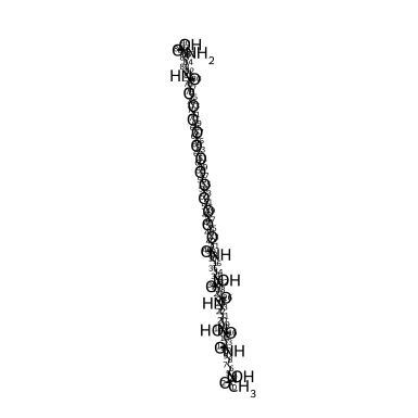 CC(=O)N(O)CCCCCNC(=O)CCC(=O)N(O)CCCCCNC(=O)CCC(=O)N(O)CCCCCNC(=O)CCOCCOCCOCCOCCOCCOCCOCCOCCOCCOCCOCCOCCC(=O)NCCCC[C@H](N)C(=O)O